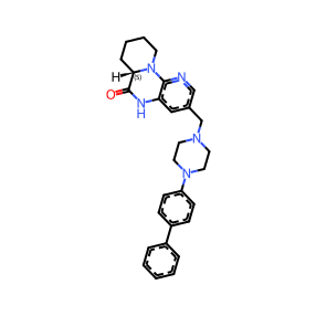 O=C1Nc2cc(CN3CCN(c4ccc(-c5ccccc5)cc4)CC3)cnc2N2CCCC[C@@H]12